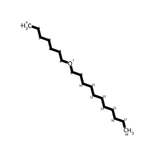 [CH2]CCCCCCOCCCCCCCCCCC